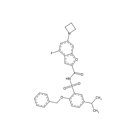 CC(C)c1ccc(OCc2ccccc2)c(S(=O)(=O)NC(=O)c2cc3c(F)cc(N4CCC4)cc3o2)c1